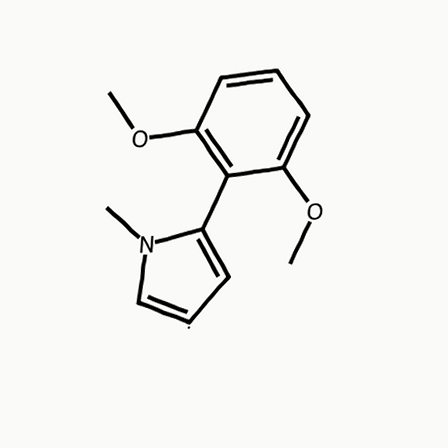 COc1cccc(OC)c1-c1c[c]cn1C